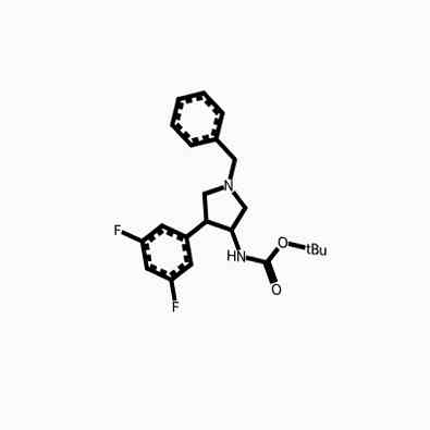 CC(C)(C)OC(=O)NC1CN(Cc2ccccc2)CC1c1cc(F)cc(F)c1